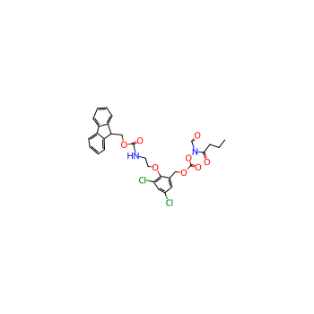 CCCC(=O)N(C=O)OC(=O)OCc1cc(Cl)cc(Cl)c1OCCNC(=O)OCC1c2ccccc2-c2ccccc21